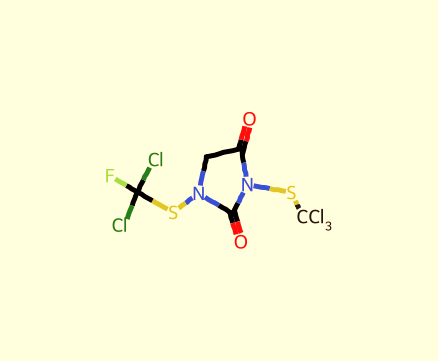 O=C1CN(SC(F)(Cl)Cl)C(=O)N1SC(Cl)(Cl)Cl